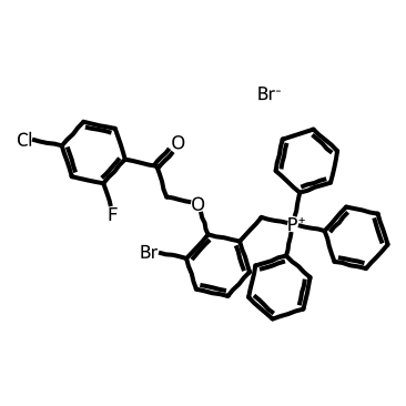 O=C(COc1c(Br)cccc1C[P+](c1ccccc1)(c1ccccc1)c1ccccc1)c1ccc(Cl)cc1F.[Br-]